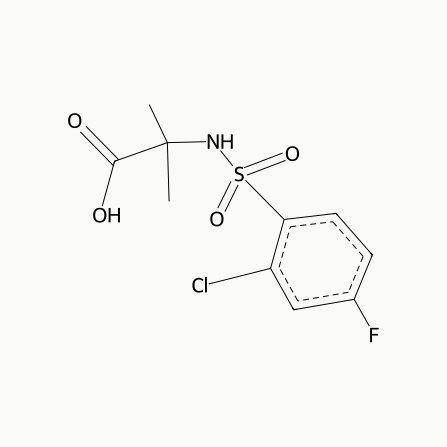 CC(C)(NS(=O)(=O)c1ccc(F)cc1Cl)C(=O)O